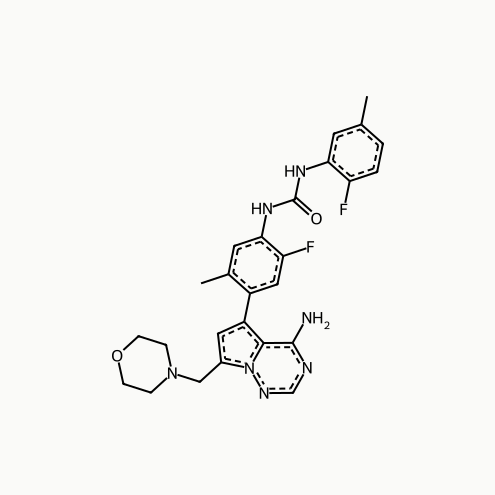 Cc1ccc(F)c(NC(=O)Nc2cc(C)c(-c3cc(CN4CCOCC4)n4ncnc(N)c34)cc2F)c1